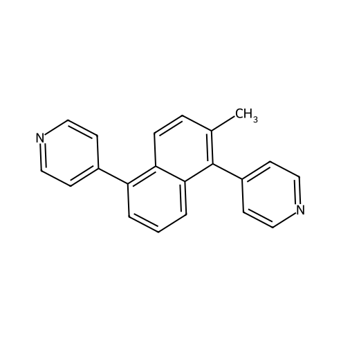 Cc1ccc2c(-c3ccncc3)cccc2c1-c1ccncc1